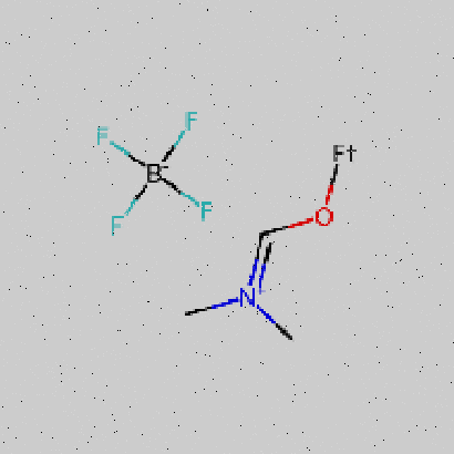 CCOC=[N+](C)C.F[B-](F)(F)F